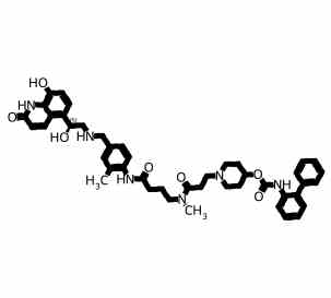 Cc1cc(CNC[C@@H](O)c2ccc(O)c3[nH]c(=O)ccc23)ccc1NC(=O)CCCN(C)C(=O)CCN1CCC(OC(=O)Nc2ccccc2-c2ccccc2)CC1